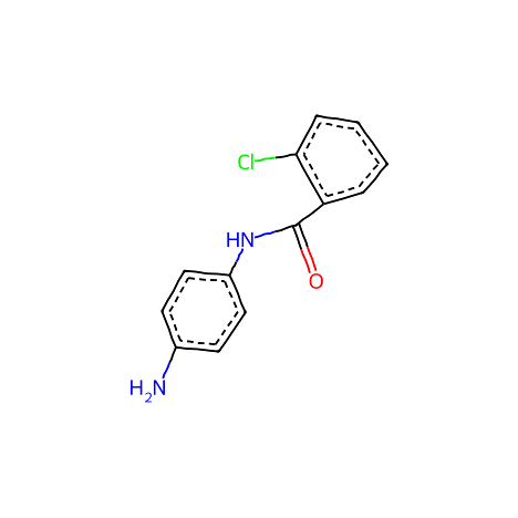 Nc1ccc(NC(=O)c2ccccc2Cl)cc1